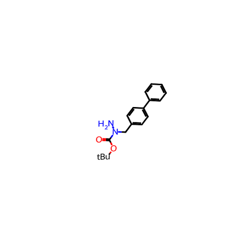 CC(C)(C)OC(=O)N(N)Cc1ccc(-c2ccccc2)cc1